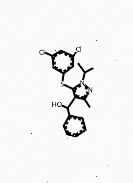 Cc1nn(C(C)C)c(Sc2cc(Cl)cc(Cl)c2)c1C(O)c1ccccc1